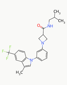 Cc1cn(-c2cccc(N3CC(C(=O)NCC(C)C)C3)c2)c2ccc(C(F)(F)F)cc12